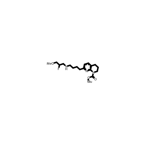 COCC(F)CNCCCCc1ccc2c(n1)N(C(=O)OC(C)(C)C)CCC2